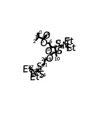 C=C(C)C(=O)OCCCC(C)(SC(=S)N(CC)CC)C(=O)OCCSC(=S)N(CC)CC